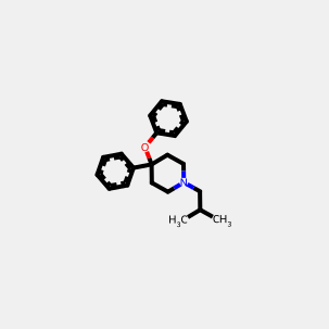 CC(C)CN1CCC(Oc2ccccc2)(c2ccccc2)CC1